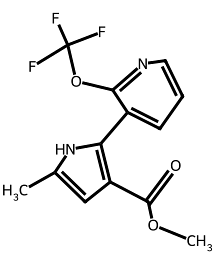 COC(=O)c1cc(C)[nH]c1-c1cccnc1OC(F)(F)F